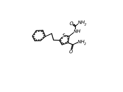 NC(=O)Nc1sc(CCc2ccccc2)cc1C(N)=O